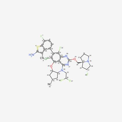 N#Cc1c(N)sc2c(F)ccc(-c3c(Cl)c4c5c(nc(OC[C@@]67CCCN6C[C@H](F)C7)nc5c3F)N(CC(F)F)C3CC(C#N)CC3O4)c12